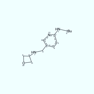 CC(C)(C)Nc1ccc(CNC2COC2)cn1